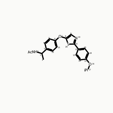 CC(=O)NC(C)c1ccc(Oc2cnc(-c3ccc(OC(C)C)cc3)s2)cc1